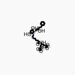 O=C(CCC/C=C\C[C@@H]1[C@@H](CC[C@@H](O)CCc2ccccc2)[C@H](O)C[C@@H]1O)NC(CO[N+](=O)[O-])CO[N+](=O)[O-]